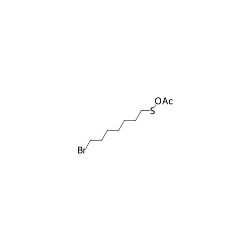 CC(=O)OSCCCCCCCBr